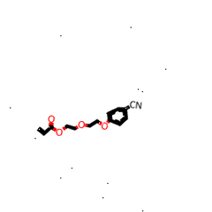 C=CC(=O)OCCOCCOc1ccc(C#N)cc1